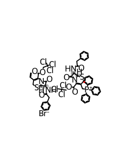 C=CC1=C(C(=O)OCC(Cl)(Cl)Cl)N2C(=O)[C@@H](NC(=O)Cc3ccccc3)[C@@H]2SC1.O=C(Cc1ccccc1)N[C@@H]1C(=O)N2C(C(=O)OCC(Cl)(Cl)Cl)=C(C[P+](c3ccccc3)(c3ccccc3)c3ccccc3)CS[C@@H]12.[Br-]